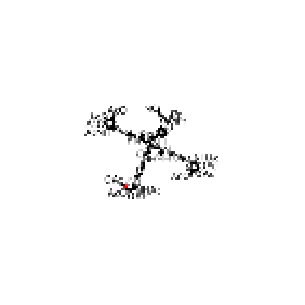 CC(=O)NC1C(OCCOCCNC(=O)CCC(CCC(=O)NCCOCCOC2OC(COC(C)=O)C(OC(C)=O)C(OC(C)=O)C2NC(C)=O)(CCC(=O)NCCOCCOC2OC(COC(C)=O)C(OC(C)=O)C(OC(C)=O)C2NC(C)=O)NC(=O)c2ccc(OP(OCCCC#N)N(C(C)C)C(C)C)cc2)CC(COC(C)=O)C(OC(C)=O)C1OC(C)=O